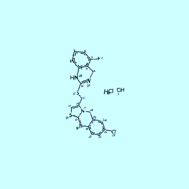 Cl.Cl.Fc1cccc2c1CN=C(SCC1=CSC3=Nc4ccc(Cl)cc4CN13)N2